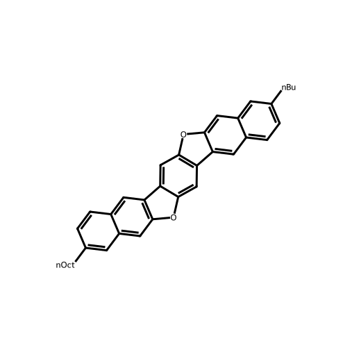 CCCCCCCCc1ccc2cc3c(cc2c1)oc1cc2c(cc13)oc1cc3cc(CCCC)ccc3cc12